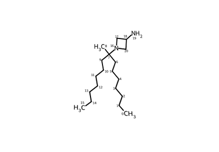 CCCCCCCC(C)(CCCCCCC)N1CC(N)C1